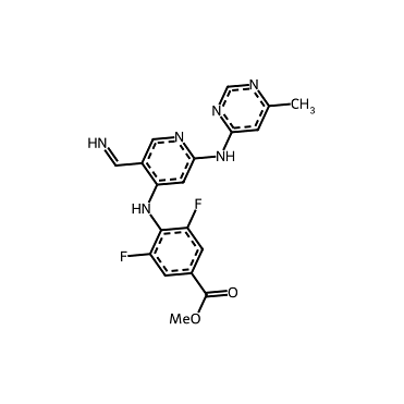 COC(=O)c1cc(F)c(Nc2cc(Nc3cc(C)ncn3)ncc2C=N)c(F)c1